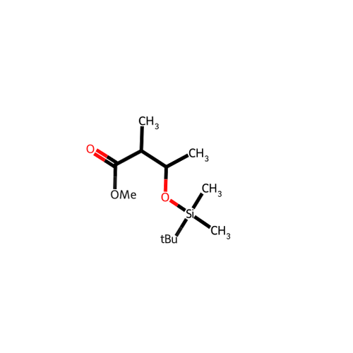 COC(=O)C(C)C(C)O[Si](C)(C)C(C)(C)C